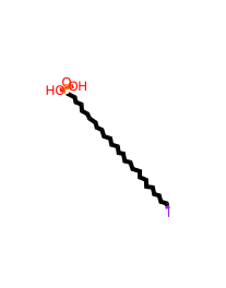 O=P(O)(O)CCCCCCCCCCCCCCCCCCCCCCCCCCCCI